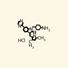 Cc1cc(C)c(/C=C2\C(=O)N(CC3CCC(N)CC3)c3cc(-c4cnccn4)ccc32)[nH]1.Cl